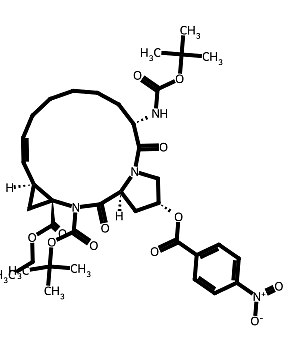 CCOC(=O)[C@@]12C[C@H]1/C=C\CCCCC[C@H](NC(=O)OC(C)(C)C)C(=O)N1C[C@H](OC(=O)c3ccc([N+](=O)[O-])cc3)C[C@H]1C(=O)N2C(=O)OC(C)(C)C